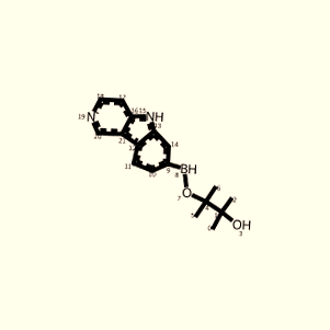 CC(C)(O)C(C)(C)OBc1ccc2c(c1)[nH]c1ccncc12